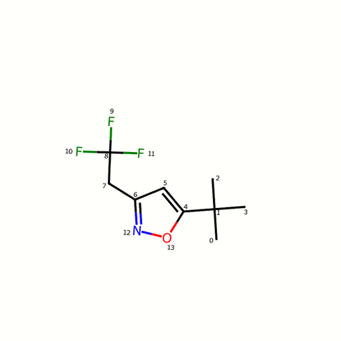 CC(C)(C)c1cc(CC(F)(F)F)no1